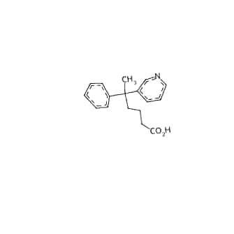 CC(CCCC(=O)O)(c1ccccc1)c1cccnc1